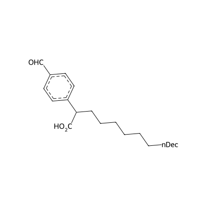 CCCCCCCCCCCCCCCCC(C(=O)O)c1ccc(C=O)cc1